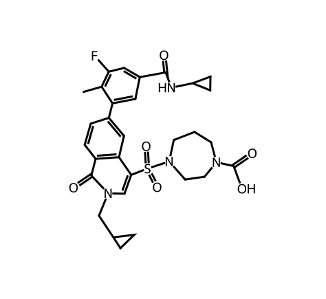 Cc1c(F)cc(C(=O)NC2CC2)cc1-c1ccc2c(=O)n(CC3CC3)cc(S(=O)(=O)N3CCCN(C(=O)O)CC3)c2c1